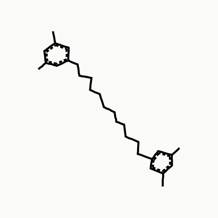 Cc1cc(C)cc(CCCCCCCCCCCCc2cc(C)cc(C)c2)c1